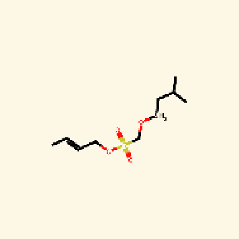 CC=CCOS(=O)(=O)CO[SiH2]CC(C)C